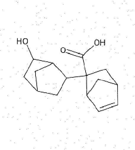 O=C(O)C1(C2CC3CC(O)C2C3)CC2C=CC1C2